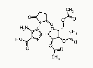 CC(=O)OC[C@H]1O[C@@H](c2nc(C(=O)O)c(N)n2N2C(=O)CCC2=O)[C@H](OC(C)=O)[C@@H]1OC(C)=O